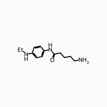 CCNc1ccc(NC(=O)CCCCN)cc1